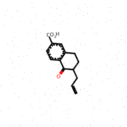 C=CCC1CCc2cc(C(=O)O)ccc2C1=O